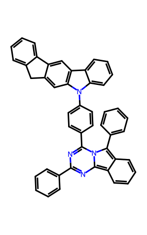 c1ccc(-c2nc(-c3ccc(-n4c5ccccc5c5cc6c(cc54)Cc4ccccc4-6)cc3)n3c(-c4ccccc4)c4ccccc4c3n2)cc1